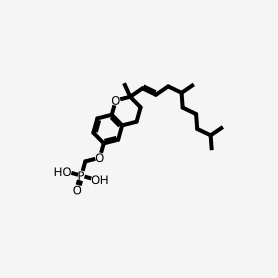 CC(C)CCCC(C)CC=CC1(C)CCc2cc(OCP(=O)(O)O)ccc2O1